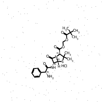 CC(C)(C)C(=O)OCOC(=O)[C@@H]1N2C(=O)[C@@H](NC(=O)[C@H](N)c3ccccc3)[C@H]2SC1(C)C.Cl